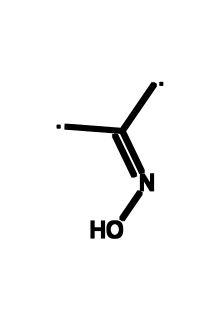 [CH2]C([CH2])=NO